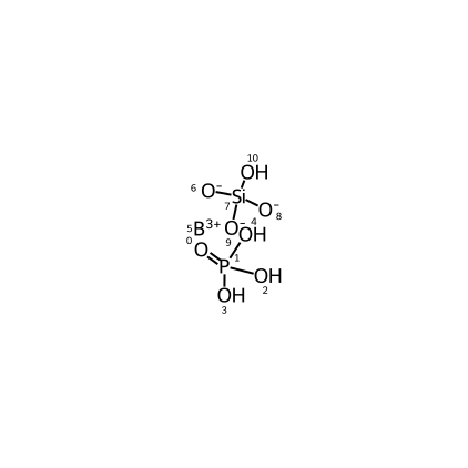 O=P(O)(O)O.[B+3].[O-][Si]([O-])([O-])O